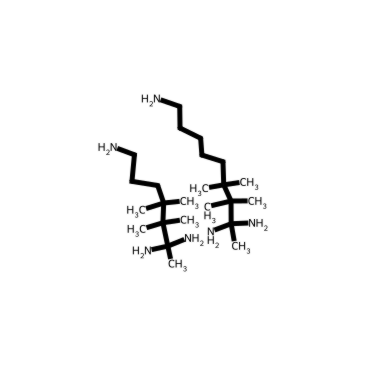 CC(N)(N)C(C)(C)C(C)(C)CCCCCN.CC(N)(N)C(C)(C)C(C)(C)CCCN